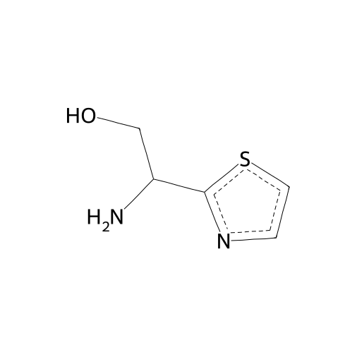 NC(CO)c1nccs1